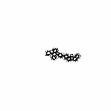 c1ccc(-c2c3ccccc3c(-c3ccc(-c4ccc5c(ccc6c7ccc8ccccc8c7oc56)c4)cc3)c3ccccc23)cc1